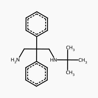 CC(C)(C)NCC(CN)(c1ccccc1)c1ccccc1